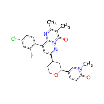 Cc1nc2c(-c3ccc(Cl)cc3F)cc([C@@H]3CCO[C@H](c4ccc(=O)n(C)c4)C3)nn2c(=O)c1C